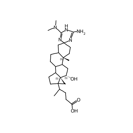 CC(CCC(=O)O)C12CCC3C4CCC5CC6(CC[C@]5(C)C4C[C@H](O)[C@@]31C2)N=C(N)NC(N(C)C)=N6